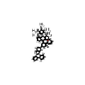 Bc1c(B)c(B)c(-c2c3ccccc3c(-c3cc(-c4ccc5oc(-c6ccccc6-c6ccccc6)cc5c4)cc4sc5ccccc5c34)c3ccccc23)c(B)c1B